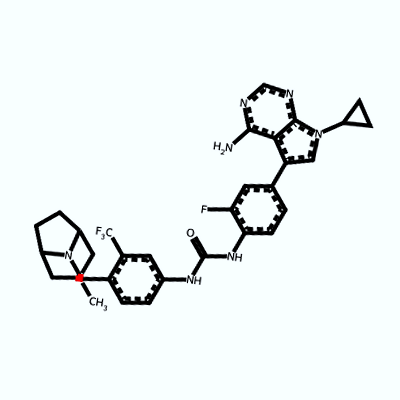 CN1CC2CCC(C1)N2Cc1ccc(NC(=O)Nc2ccc(-c3cn(C4CC4)c4ncnc(N)c34)cc2F)cc1C(F)(F)F